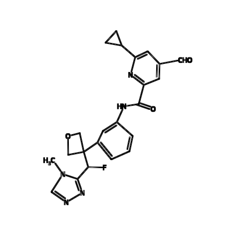 Cn1cnnc1C(F)C1(c2cccc(NC(=O)c3cc(C=O)cc(C4CC4)n3)c2)COC1